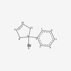 BrC1(c2ccccc2)CC=CC1